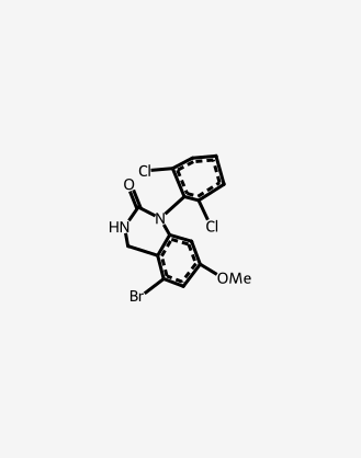 COc1cc(Br)c2c(c1)N(c1c(Cl)cccc1Cl)C(=O)NC2